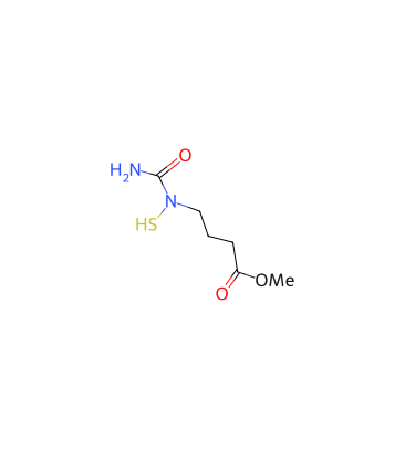 COC(=O)CCCN(S)C(N)=O